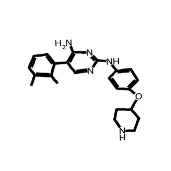 Cc1cccc(-c2cnc(Nc3ccc(OC4CCNCC4)cc3)nc2N)c1C